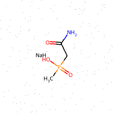 CP(=O)(O)CC(N)=O.[NaH]